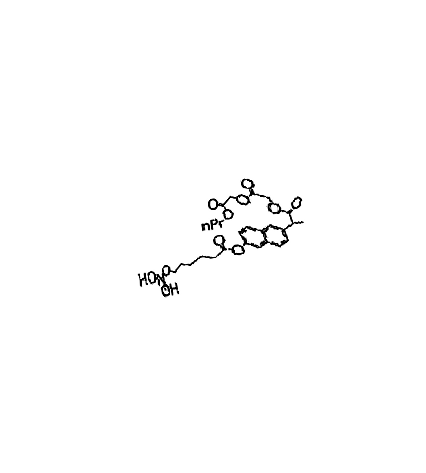 CCCOC(=O)COC(=O)COC(=O)C(C)c1ccc2cc(OC(=O)CCCCCON(O)O)ccc2c1